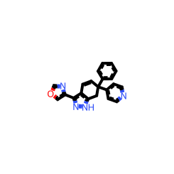 C1=CC(c2ccccc2)(c2ccncc2)Cc2[nH]nc(-c3cocn3)c21